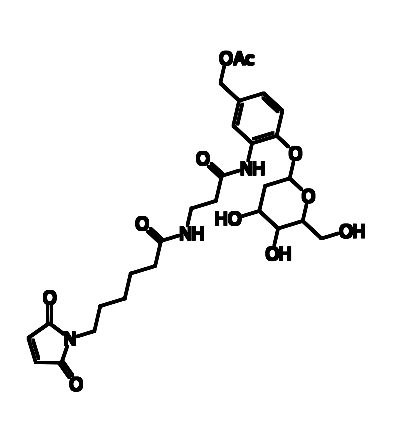 CC(=O)OCc1ccc(OC2CC(O)C(O)C(CO)O2)c(NC(=O)CCNC(=O)CCCCCN2C(=O)C=CC2=O)c1